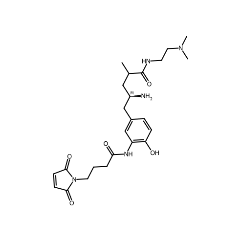 CC(C[C@@H](N)Cc1ccc(O)c(NC(=O)CCCN2C(=O)C=CC2=O)c1)C(=O)NCCN(C)C